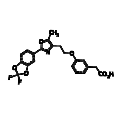 Cc1oc(-c2ccc3c(c2)OC(F)(F)O3)nc1CCOc1cccc(CC(=O)O)c1